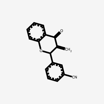 C=C1C(=O)c2ccccc2OC1c1cccc(C#N)c1